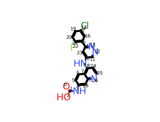 O=C(O)Nc1ccc2c(Nc3cnnc(-c4cc(Cl)ccc4F)c3)ccnc2c1